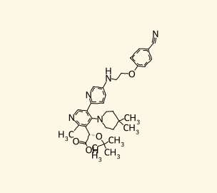 Cc1ncc(-c2ccc(NCCOc3ccc(C#N)cc3)cn2)c(N2CCC(C)(C)CC2)c1[C@H](OC(C)(C)C)C(=O)O